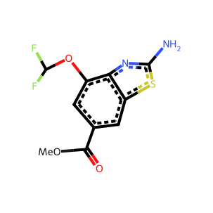 COC(=O)c1cc(OC(F)F)c2nc(N)sc2c1